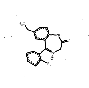 CCc1ccc2c(c1)C(c1ccccc1F)=[N+]([O-])CC(=O)N2